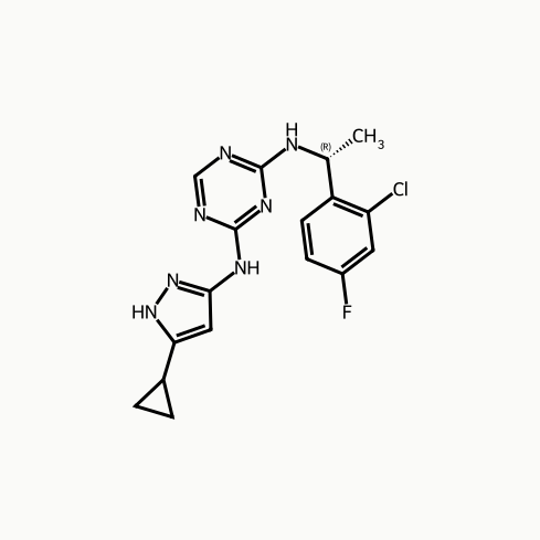 C[C@@H](Nc1ncnc(Nc2cc(C3CC3)[nH]n2)n1)c1ccc(F)cc1Cl